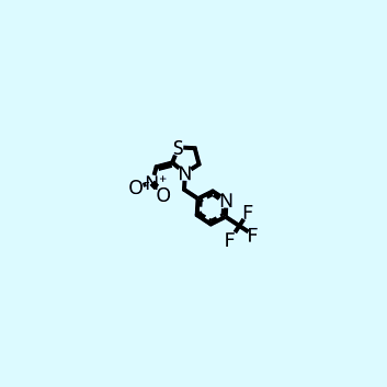 O=[N+]([O-])/C=C1/SCCN1Cc1ccc(C(F)(F)F)nc1